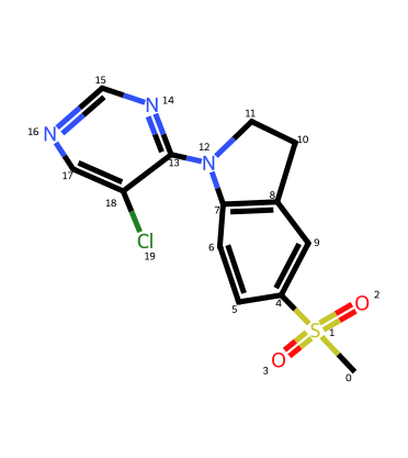 CS(=O)(=O)c1ccc2c(c1)CCN2c1ncncc1Cl